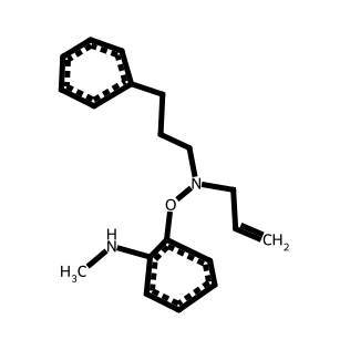 C=CCN(CCCc1ccccc1)Oc1ccccc1NC